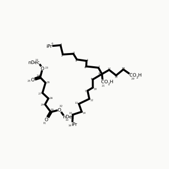 CC(C)CCCCCCCC(CCCCCCCC(C)C)(CCCC(=O)O)C(=O)O.CCCCCCCCCCOC(=O)CCCCC(=O)OCCCCCCCCCC